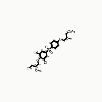 COC[C@@H](C)COc1ccc(S(=O)(=O)c2cc(Cl)c(OC[C@@H](CCl)OC(C)=O)c(Cl)c2)cc1